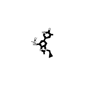 Cc1cc(-c2cc(N[S@+](C)[O-])c3nc(C)n(CC4CC4)c3c2)c[nH]c1=O